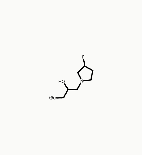 CC(C)(C)CC(O)CN1CCC(F)C1